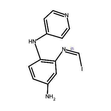 Nc1ccc(Nc2ccncc2)c(/N=C\I)c1